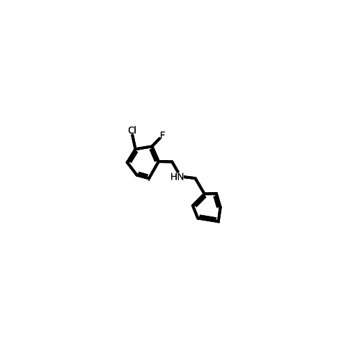 Fc1c(CNCc2ccccc2)[c]ccc1Cl